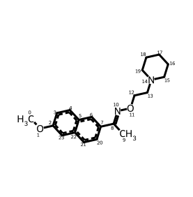 COc1ccc2cc(C(C)=NOCCN3CCCCC3)ccc2c1